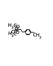 C=Cc1ccc(CC[Si](C=O)(OC)OC)cc1